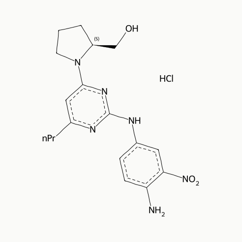 CCCc1cc(N2CCC[C@H]2CO)nc(Nc2ccc(N)c([N+](=O)[O-])c2)n1.Cl